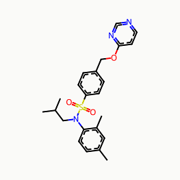 Cc1ccc(N(CC(C)C)S(=O)(=O)c2ccc(COc3ccncn3)cc2)c(C)c1